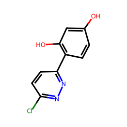 Oc1ccc(-c2ccc(Cl)nn2)c(O)c1